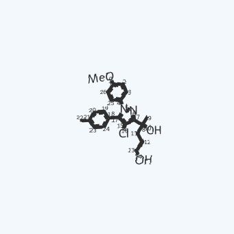 COc1ccc(-n2nc(C(C)(O)CCCO)c(Cl)c2-c2ccc(C)cc2)cc1